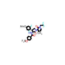 COc1cc(F)c([C@@H]2CN(c3c(C)ccn(CC(F)F)c3=O)C(=O)[C@H]2NC(=O)c2ccc(OC(F)(F)F)cc2)c(F)c1